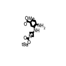 COC(=O)c1ccc(N)c(NC2CN(C(=O)OC(C)(C)C)C2)c1